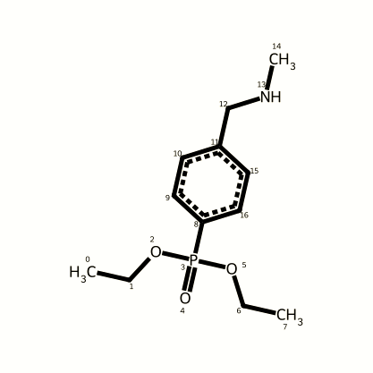 CCOP(=O)(OCC)c1ccc(CNC)cc1